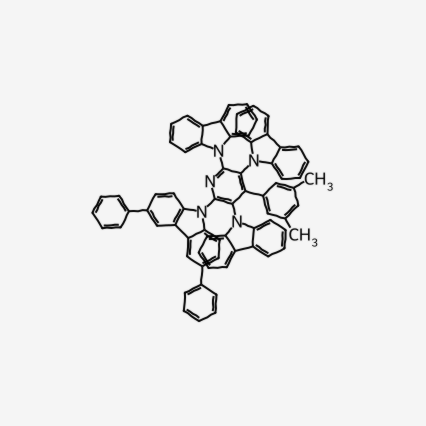 Cc1cc(C)cc(-c2c(-n3c4ccccc4c4ccccc43)c(-n3c4ccccc4c4ccccc43)nc(-n3c4ccc(-c5ccccc5)cc4c4cc(-c5ccccc5)ccc43)c2-n2c3ccccc3c3ccccc32)c1